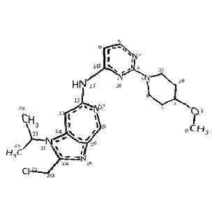 COC1CCN(c2nccc(Nc3cc4c(cn3)nc(CCl)n4C(C)C)n2)CC1